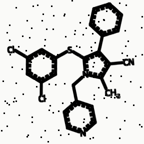 Cc1c(C#N)c(-c2ccccc2)c(Sc2cc(Cl)cc(Cl)c2)n1Cc1ccncc1